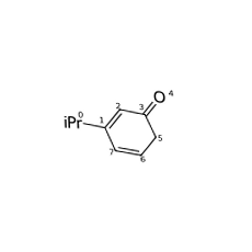 CC(C)C1=CC(=O)CC=C1